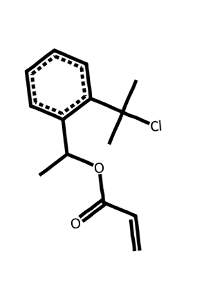 C=CC(=O)OC(C)c1ccccc1C(C)(C)Cl